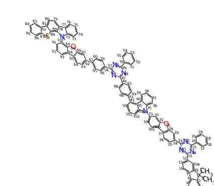 CC1(C)c2ccccc2-c2ccc(-c3nc(-c4ccccc4)nc(-c4ccc5c(c4)oc4cc(-n6c7ccccc7c7c(-c8ccc(-c9nc(-c%10ccccc%10)nc(-c%10ccc(-c%11ccc%12c(c%11)oc%11c(-n%13c%14ccccc%14c%14ccc%15c%16ccccc%16sc%15c%14%13)cccc%11%12)cc%10)n9)cc8)cccc76)ccc45)n3)cc21